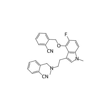 CN(CCc1cn(C)c2ccc(F)c(OCc3ccccc3C#N)c12)Cc1ccccc1C#N